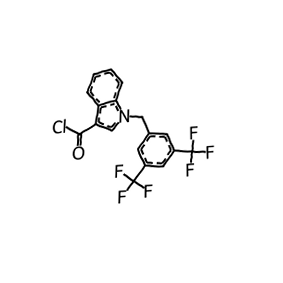 O=C(Cl)c1cn(Cc2cc(C(F)(F)F)cc(C(F)(F)F)c2)c2ccccc12